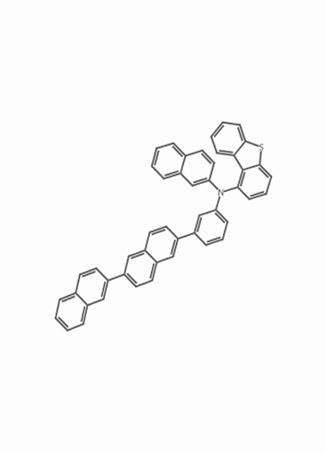 c1cc(-c2ccc3cc(-c4ccc5ccccc5c4)ccc3c2)cc(N(c2ccc3ccccc3c2)c2cccc3sc4ccccc4c23)c1